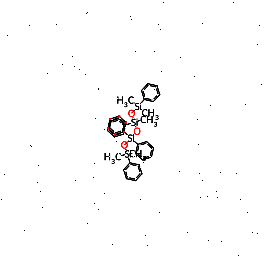 C[Si](C)(O[Si](C)(O[Si](O[Si](C)(C)c1ccccc1)(c1ccccc1)c1ccccc1)c1ccccc1)c1ccccc1